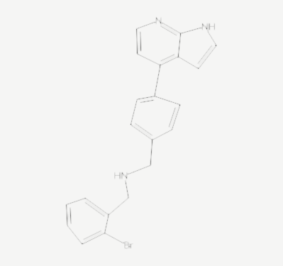 Brc1ccccc1CNCc1ccc(-c2ccnc3[nH]ccc23)cc1